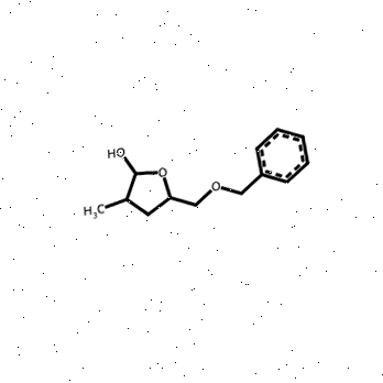 CC1CC(COCc2ccccc2)OC1O